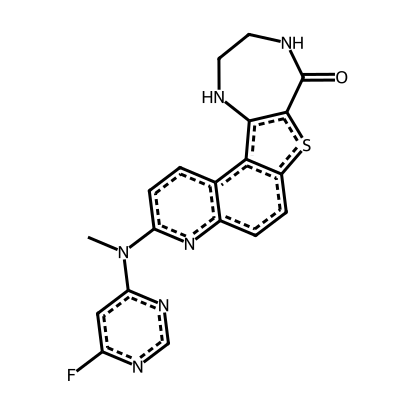 CN(c1cc(F)ncn1)c1ccc2c(ccc3sc4c(c32)NCCNC4=O)n1